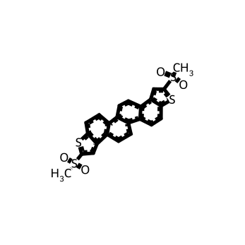 CS(=O)(=O)c1cc2c(ccc3c2ccc2c4ccc5sc(S(C)(=O)=O)cc5c4ccc32)s1